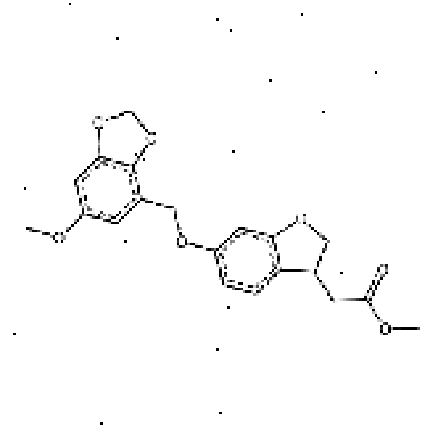 COC(=O)CC1COc2cc(OCc3cc(OC)cc4c3OCO4)ccc21